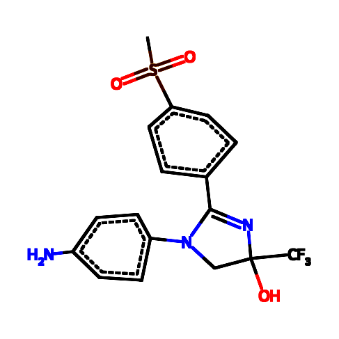 CS(=O)(=O)c1ccc(C2=NC(O)(C(F)(F)F)CN2c2ccc(N)cc2)cc1